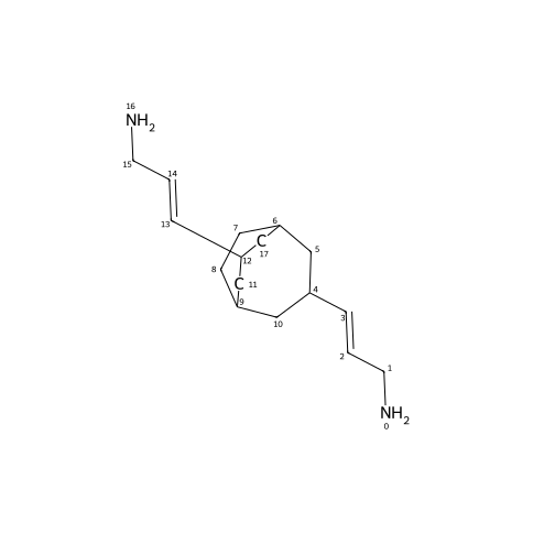 NC/C=C/C1CC2CCC(C1)CC(/C=C/CN)C2